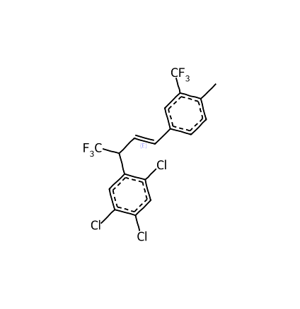 Cc1ccc(/C=C/C(c2cc(Cl)c(Cl)cc2Cl)C(F)(F)F)cc1C(F)(F)F